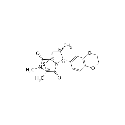 C[C@@H]1C[C@@]23S[C@@](C)(C(=O)N2[C@H]1c1ccc2c(c1)OCCO2)N(C)C3=O